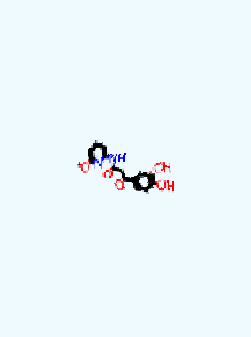 COc1cccc(NC(=O)CC(=O)c2ccc(O)c(O)c2)n1